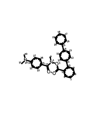 CN(OC(=O)c1ccccc1-c1ccc(-c2ccccc2)cc1)C(=O)c1ccc(N(C)C)cc1